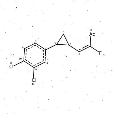 CC(=O)/C(F)=C\C1CC1c1ccc(Cl)c(Cl)c1